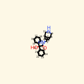 O=C(NCC1C2CCC1CNC2)C(O)(c1ccccc1)c1ccccc1